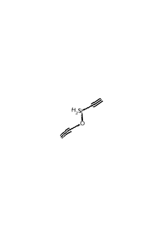 C#CO[SiH2]C#C